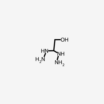 NNC(CO)NN